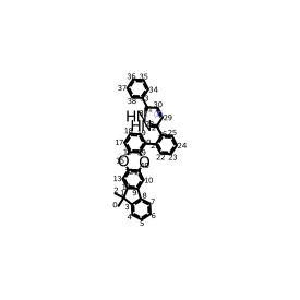 CC1(C)c2ccccc2-c2cc3c(cc21)Oc1cccc(-c2ccccc2C(=N)/C=C\C(=N)c2ccccc2)c1O3